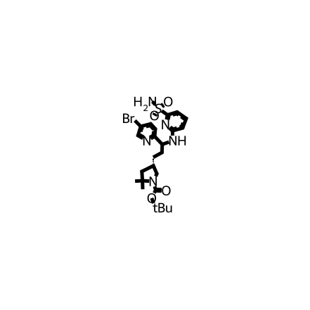 CC(C)(C)OC(=O)N1C[C@@H](CCC(Nc2cccc(S(N)(=O)=O)n2)c2ccc(Br)cn2)CC1(C)C